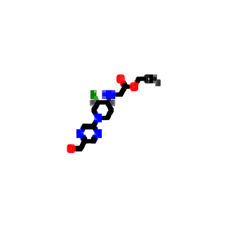 CCOC(=O)CN[C@@H]1CCN(c2cnc(C=O)cn2)C[C@@H]1F